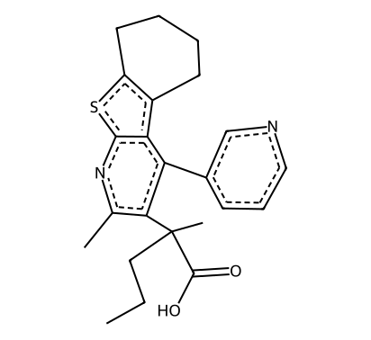 CCCC(C)(C(=O)O)c1c(C)nc2sc3c(c2c1-c1cccnc1)CCCC3